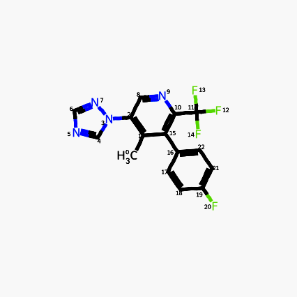 Cc1c(-n2cncn2)cnc(C(F)(F)F)c1-c1ccc(F)cc1